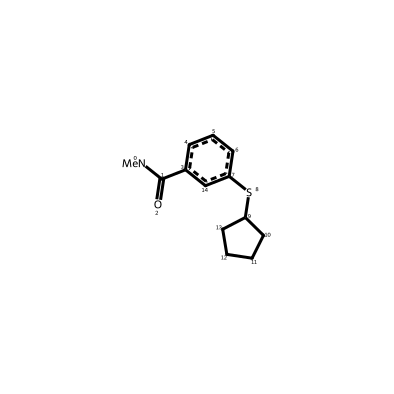 CNC(=O)c1cccc(SC2CCCC2)c1